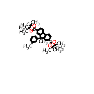 Cc1cccc(C2(C)c3cc(B4OC(C)(C)C(C)(C)O4)ccc3-c3ccc(B4OC(C)(C)C(C)(C)O4)cc32)c1